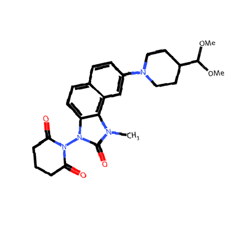 COC(OC)C1CCN(c2ccc3ccc4c(c3c2)n(C)c(=O)n4N2C(=O)CCCC2=O)CC1